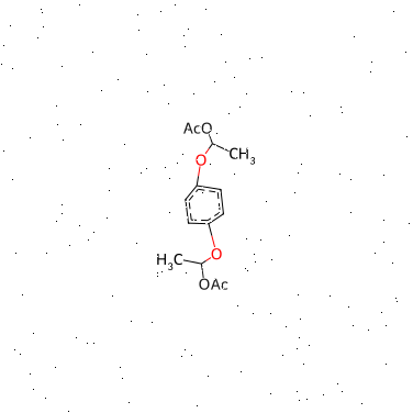 CC(=O)OC(C)Oc1ccc(OC(C)OC(C)=O)cc1